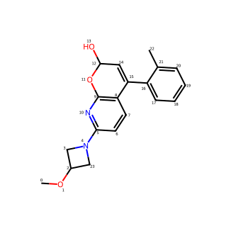 COC1CN(c2ccc3c(n2)OC(O)C=C3c2ccccc2C)C1